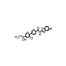 CC[C@@H](O)c1cnc(-c2ccc(C(=O)Nc3nc4cc(F)ccc4s3)nc2)c(Cl)c1